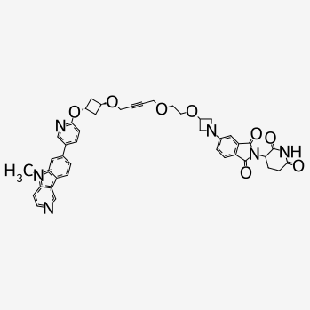 Cn1c2ccncc2c2ccc(-c3ccc(O[C@H]4C[C@H](OCC#CCOCCOC5CN(c6ccc7c(c6)C(=O)N(C6CCC(=O)NC6=O)C7=O)C5)C4)nc3)cc21